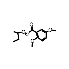 CC[C](C)OOC(=O)c1cc(OC)ccc1OC